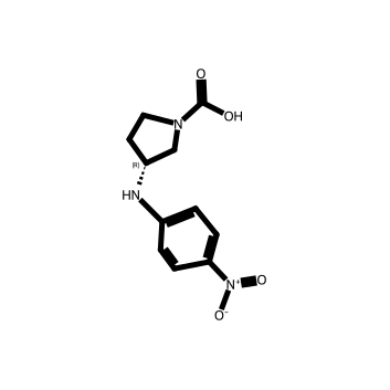 O=C(O)N1CC[C@@H](Nc2ccc([N+](=O)[O-])cc2)C1